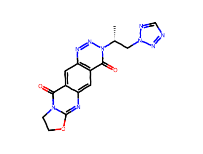 C[C@H](Cn1ncnn1)n1nnc2cc3c(=O)n4c(nc3cc2c1=O)OCC4